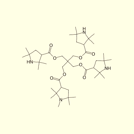 CN1C(C)(C)CC(C(=O)OCC(COC(=O)C2CC(C)(C)NC2(C)C)(COC(=O)C2CC(C)(C)NC2(C)C)COC(=O)C2CC(C)(C)NC2(C)C)C1(C)C